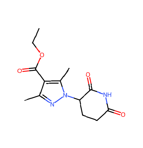 CCOC(=O)c1c(C)nn(C2CCC(=O)NC2=O)c1C